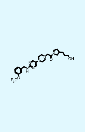 O=C(CN1CCN(c2cnc(NCc3cccc(OC(F)(F)F)c3)nc2)CC1)N1CCC(CCCO)C1